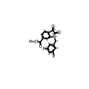 COC(=O)c1ccc2c(c1)N(Cc1cc(F)cc(F)c1)C(=O)C2=O